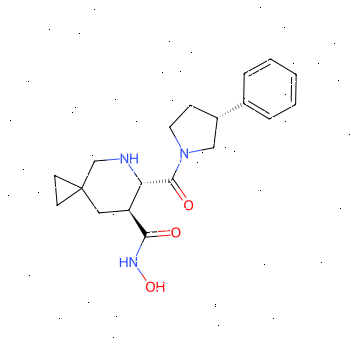 O=C(NO)[C@H]1CC2(CC2)CN[C@@H]1C(=O)N1CC[C@H](c2ccccc2)C1